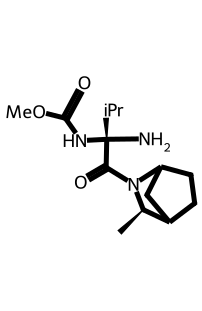 COC(=O)N[C@](N)(C(=O)N1C2CCC(C2)[C@H]1C)C(C)C